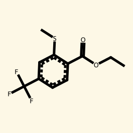 CCOC(=O)c1ccc(C(F)(F)F)cc1SC